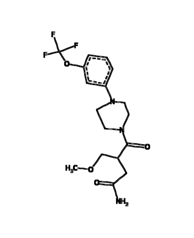 COCC(CC(N)=O)C(=O)N1CCN(c2cccc(OC(F)(F)F)c2)CC1